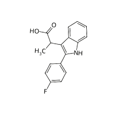 CC(C(=O)O)c1c(-c2ccc(F)cc2)[nH]c2ccccc12